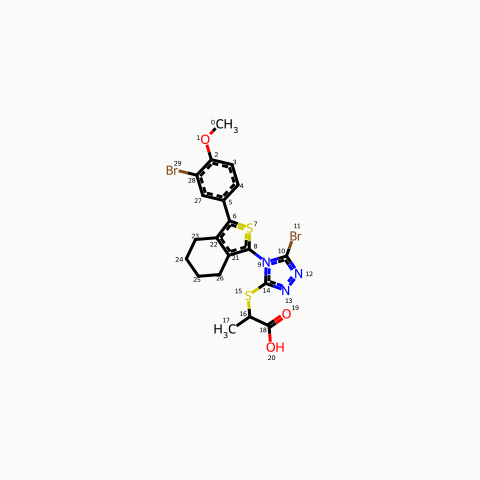 COc1ccc(-c2sc(-n3c(Br)nnc3SC(C)C(=O)O)c3c2CCCC3)cc1Br